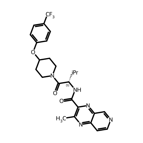 Cc1nc2ccncc2nc1C(=O)N[C@H](C(=O)N1CCC(Oc2ccc(C(F)(F)F)cc2)CC1)C(C)C